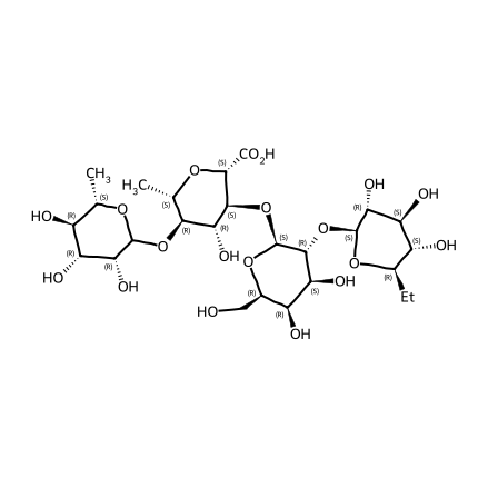 CC[C@H]1O[C@@H](O[C@H]2[C@H](O[C@H]3[C@H](O)[C@@H](OC4O[C@@H](C)[C@H](O)[C@@H](O)[C@H]4O)[C@H](C)O[C@@H]3C(=O)O)O[C@H](CO)[C@H](O)[C@@H]2O)[C@H](O)[C@@H](O)[C@@H]1O